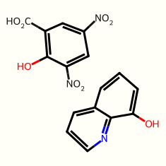 O=C(O)c1cc([N+](=O)[O-])cc([N+](=O)[O-])c1O.Oc1cccc2cccnc12